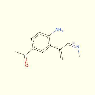 C=C(/C=N\C)c1cc(C(C)=O)ccc1N